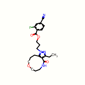 CCc1nn(CCCOC(=O)c2ccc(C#N)cc2F)c2c1C(=O)NCCCOCCC2